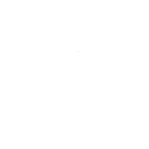 CC(CC(=O)N[C@H](C)C(=O)O)c1ccc(OCc2ccccc2)cc1OCc1ccccc1